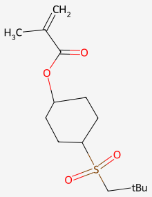 C=C(C)C(=O)OC1CCC(S(=O)(=O)CC(C)(C)C)CC1